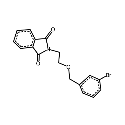 O=C1c2ccccc2C(=O)N1CCOCc1cccc(Br)c1